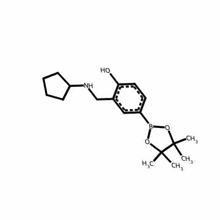 CC1(C)OB(c2ccc(O)c(CNC3CCCC3)c2)OC1(C)C